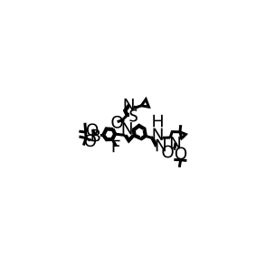 CC(C)(C)OC(=O)N1C(c2ncc(-c3ccc4c(c3)cc3n4C(c4cnc(C5CC5)s4)Oc4cc(B5OC(C)(C)C(C)(C)O5)cc(F)c4-3)[nH]2)CC2(C)CC12